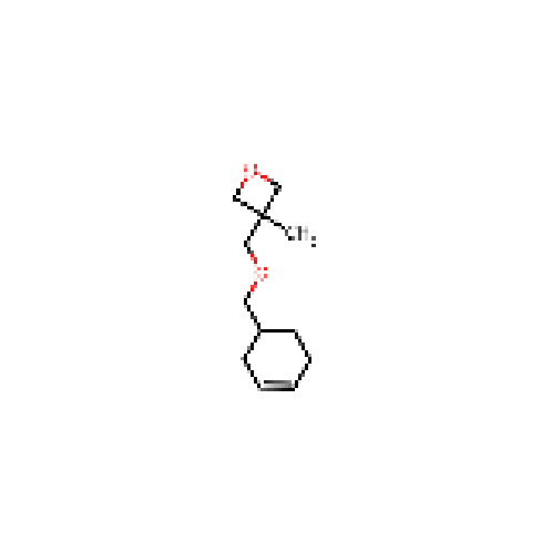 CC1(COCC2CC=CCC2)COC1